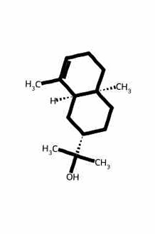 CC1=CCC[C@@]2(C)CC[C@H](C(C)(C)O)C[C@@H]12